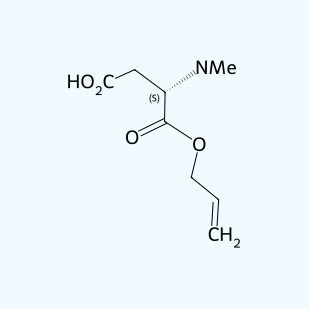 C=CCOC(=O)[C@H](CC(=O)O)NC